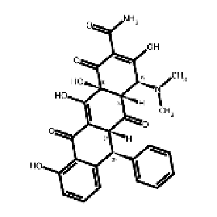 CN(C)[C@@H]1C(O)=C(C(N)=O)C(=O)[C@@]2(O)C(O)=C3C(=O)c4c(O)cccc4[C@H](c4ccccc4)[C@H]3C(=O)[C@@H]12